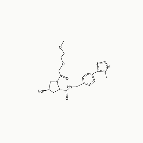 COCCOCC(=O)N1C[C@H](O)C[C@H]1C(=O)NCc1ccc(-c2scnc2C)cc1